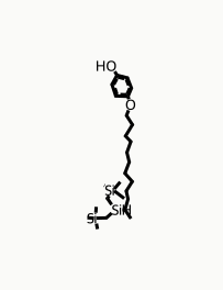 CC(CCCCCCCCCCOc1ccc(O)cc1)[SiH](C[Si](C)(C)C)C[Si](C)(C)C